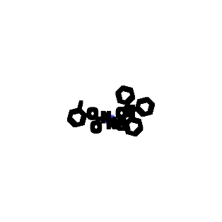 Cc1ccccc1OC(=O)/N=N/C(=O)O[Si](c1ccccc1)(c1ccccc1)c1ccccc1